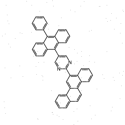 c1ccc(-c2c3ccccc3c(-c3cnc(-c4cc5c6ccccc6ccc5c5ccccc45)nc3)c3ccccc23)cc1